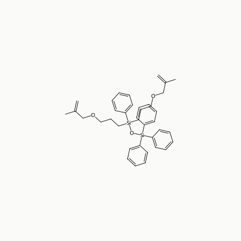 C=C(C)COCCC[Si](CCCOCC(=C)C)(O[Si](c1ccccc1)(c1ccccc1)c1ccccc1)c1ccccc1